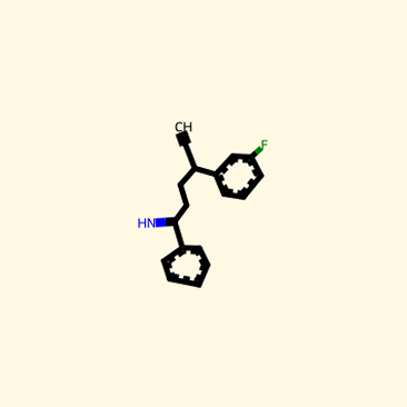 C#CC(CCC(=N)c1ccccc1)c1cccc(F)c1